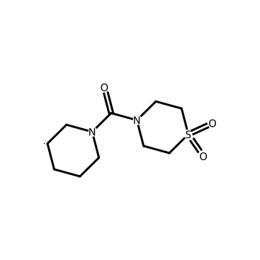 O=C(N1C[CH]CCC1)N1CCS(=O)(=O)CC1